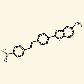 Cc1ccc2nc(-c3ccc(/C=C/c4ccc([N+](=O)[O-])cc4)cc3)sc2c1